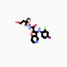 CC(C)(CCO)ONC(=O)c1oc2ccncc2c1Nc1ccc(I)cc1F